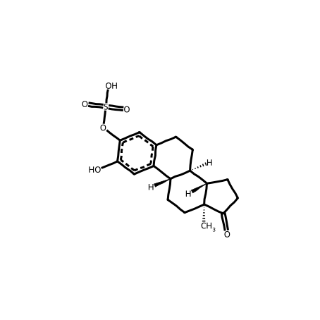 C[C@]12CC[C@@H]3c4cc(O)c(OS(=O)(=O)O)cc4CC[C@H]3[C@@H]1CCC2=O